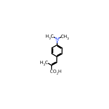 C/C(=C\c1ccc(N(C)C)cc1)C(=O)O